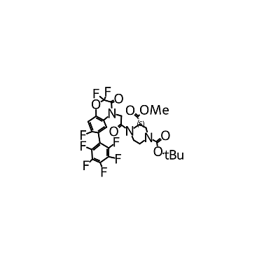 COC(=O)[C@@H]1CN(C(=O)OC(C)(C)C)CCN1C(=O)CN1C(=O)C(F)(F)Oc2cc(F)c(-c3c(F)c(F)c(F)c(F)c3F)cc21